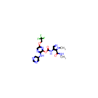 CNC(=O)c1c(NC(=O)Oc2nc(OCC(F)(F)F)cnc2Nc2cncnc2)cnn1C